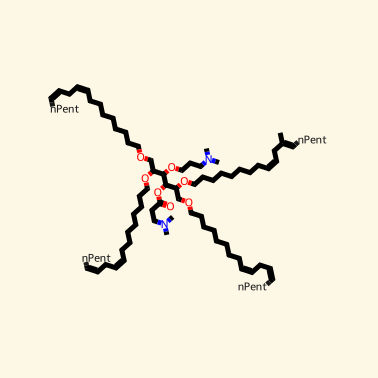 CCCCC/C=C\C/C=C\CCCCCCCCOCC(OCCCCCCCC/C=C\C/C=C\CCCCC)C(OCCCN(C)C)C(OC(=O)CCN(C)C)C(COCCCCCCCC/C=C\C/C=C\CCCCC)OCCCCCCCC/C=C\C/C(C)=C/CCCCC